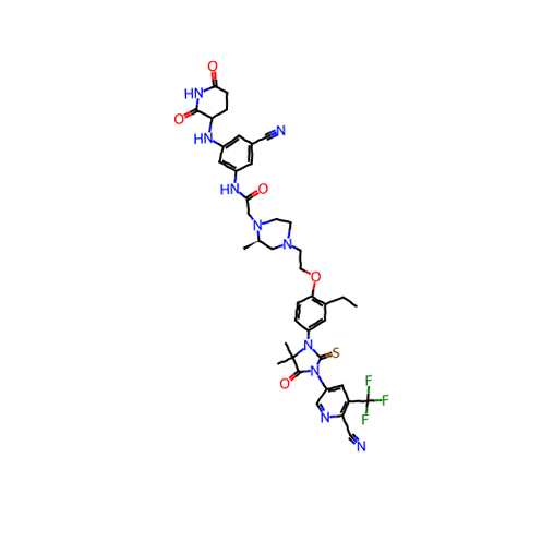 CCc1cc(N2C(=S)N(c3cnc(C#N)c(C(F)(F)F)c3)C(=O)C2(C)C)ccc1OCCN1CCN(CC(=O)Nc2cc(C#N)cc(NC3CCC(=O)NC3=O)c2)[C@H](C)C1